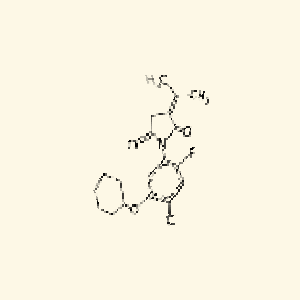 CC(C)=C1CC(=O)N(c2cc(OC3CCCCC3)c(Cl)cc2F)C1=O